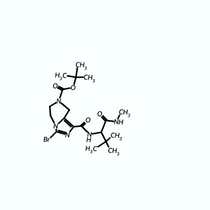 CNC(=O)C(NC(=O)c1nc(Br)n2c1CN(C(=O)OC(C)(C)C)CC2)C(C)(C)C